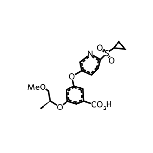 COC[C@H](C)Oc1cc(Oc2ccc(S(=O)(=O)C3CC3)nc2)cc(C(=O)O)c1